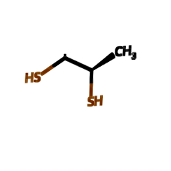 C[C@@H](S)[CH]S